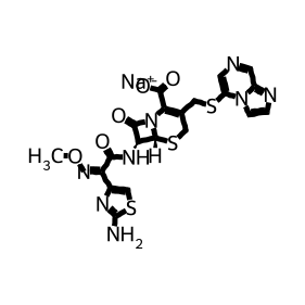 CO/N=C(\C(=O)N[C@@H]1C(=O)N2C(C(=O)[O-])=C(CSc3cncc4nccn34)CS[C@H]12)c1csc(N)n1.[Na+]